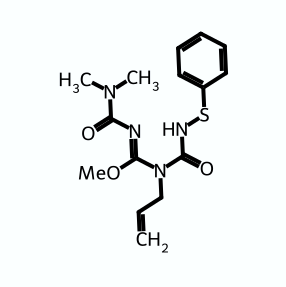 C=CCN(C(=O)NSc1ccccc1)C(=NC(=O)N(C)C)OC